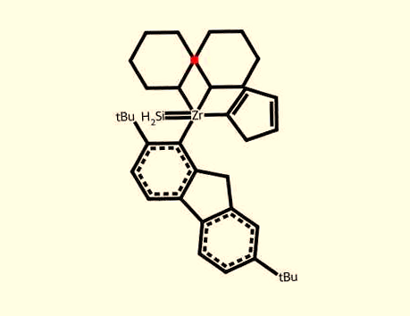 CC(C)(C)c1ccc2c(c1)Cc1c-2ccc(C(C)(C)C)[c]1[Zr](=[SiH2])([C]1=CC=CC1)([CH]1CCCCC1)[CH]1CCCCC1